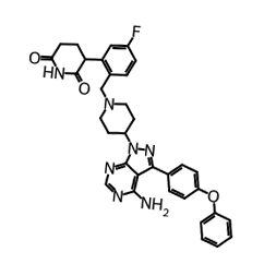 Nc1ncnc2c1c(-c1ccc(Oc3ccccc3)cc1)nn2C1CCN(Cc2ccc(F)cc2C2CCC(=O)NC2=O)CC1